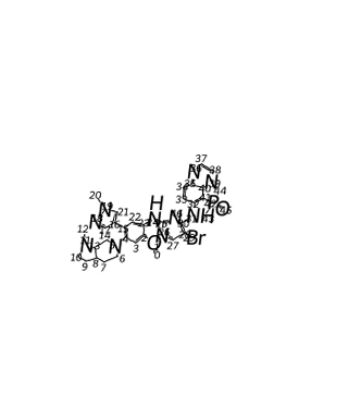 COc1cc(N2CCC3CCN(C)C3C2)c(-c2cnn(C)c2)cc1Nc1ncc(Br)c(Nc2ccc3nccnc3c2P(C)(C)=O)n1